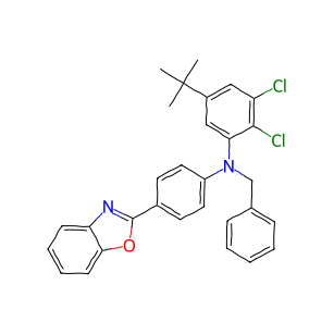 CC(C)(C)c1cc(Cl)c(Cl)c(N(Cc2ccccc2)c2ccc(-c3nc4ccccc4o3)cc2)c1